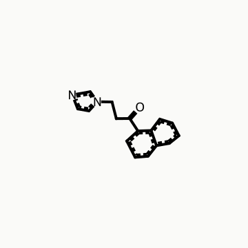 O=C(CCn1ccnc1)c1cccc2ccccc12